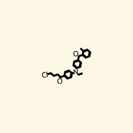 CCN(c1ccc(C(=O)CCCCl)cc1)c1ccc(C(=O)c2ccccc2C)cc1